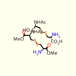 CC(=O)N[C@@H](CSSC[C@H](N)C(=O)O)C(=O)O.COC(=O)[C@H](CSSC[C@H](N)C(=O)OC)NC(C)=O